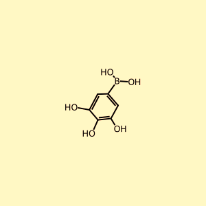 OB(O)c1cc(O)c(O)c(O)c1